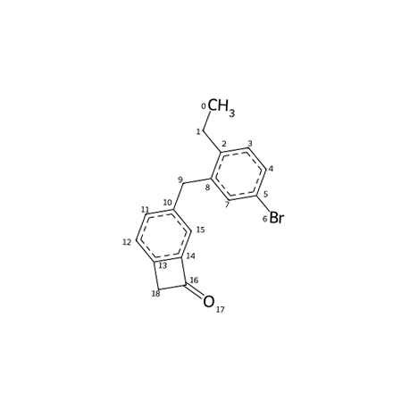 CCc1ccc(Br)cc1Cc1ccc2c(c1)C(=O)C2